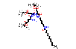 CCCCCCCCCCCC(=O)NCCCCCCNC(=O)C(CCC(=O)OC(C)(C)C)NC(=O)C(CCC(=O)OC(C)(C)C)NC(=O)C(N)CCC(=O)OC(C)(C)C